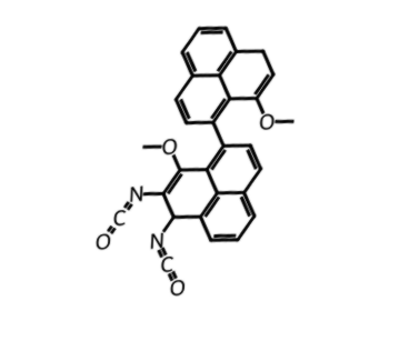 COC1=CCc2cccc3ccc(-c4ccc5cccc6c5c4C(OC)=C(N=C=O)C6N=C=O)c1c23